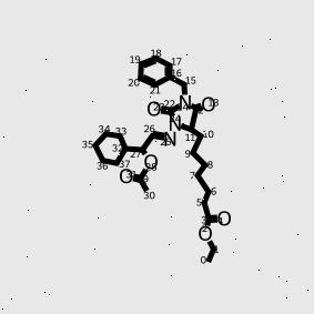 CCOC(=O)CCCCCCC1C(=O)N(Cc2ccccc2)C(=O)N1N=CC(OC(C)=O)C1CCCCC1